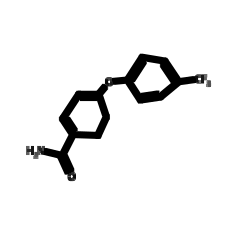 NC(=O)C1=CC=C(Oc2ccc(C(F)(F)F)cc2)CC1